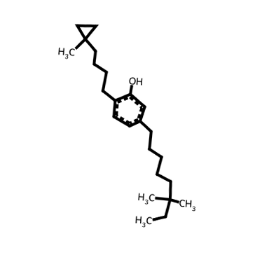 CCC(C)(C)CCCCCc1ccc(CCCCC2(C)CC2)c(O)c1